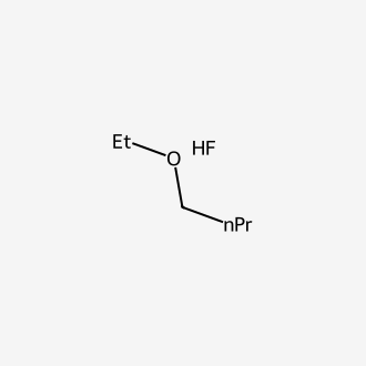 CCCCOCC.F